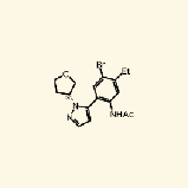 CCc1cc(NC(C)=O)c(-c2ccnn2[C@@H]2CCOC2)cc1Br